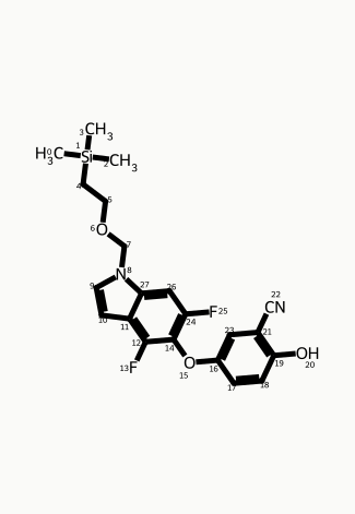 C[Si](C)(C)CCOCn1ccc2c(F)c(Oc3ccc(O)c(C#N)c3)c(F)cc21